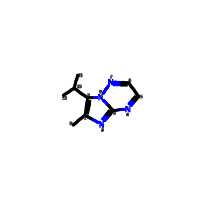 Cc1nc2nccnn2c1C(C)C